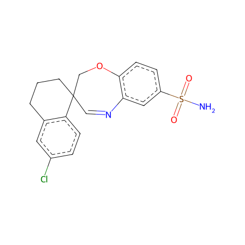 NS(=O)(=O)c1ccc2c(c1)N=CC1(CCCc3cc(Cl)ccc31)CO2